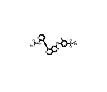 CNS(=O)(=O)c1ccc(Nc2cc3c(C#Cc4cccnc4NC(=O)O)nccc3cn2)c(C)c1